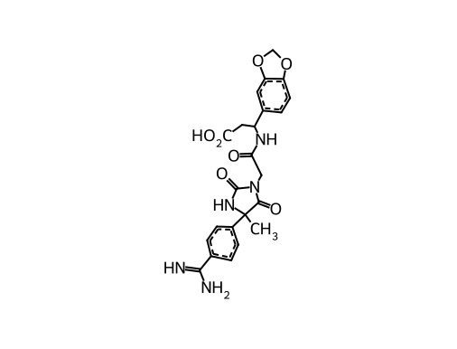 CC1(c2ccc(C(=N)N)cc2)NC(=O)N(CC(=O)NC(CC(=O)O)c2ccc3c(c2)OCO3)C1=O